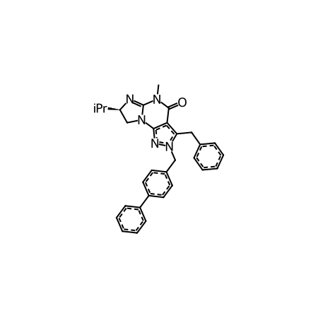 CC(C)[C@@H]1CN2C(=N1)N(C)C(=O)c1c2nn(Cc2ccc(-c3ccccc3)cc2)c1Cc1ccccc1